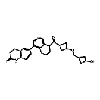 O=C1CCc2cc(-c3cncc4c3CCCC4C(=O)N3CC(OCC4CC(O)C4)C3)ccc2N1